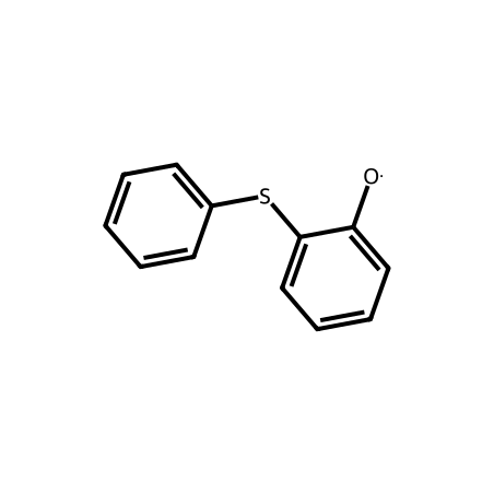 [O]c1ccccc1Sc1ccccc1